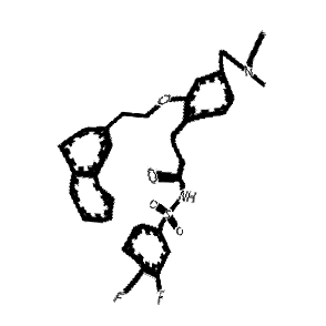 CN(C)Cc1ccc(CCC(=O)NS(=O)(=O)c2ccc(F)c(F)c2)c(OCCc2ccc3ccccc3c2)c1